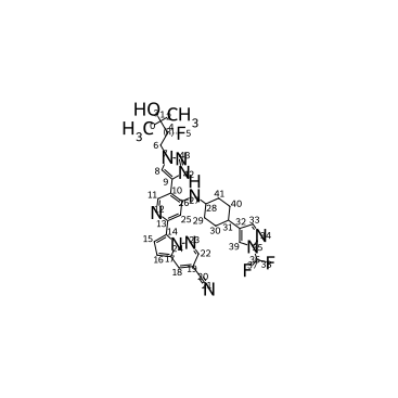 CC(C)(O)[C@H](F)Cn1cc(-c2cnc(-c3ccc4cc(C#N)cnn34)cc2NC2CCC(c3cnn(C(F)F)c3)CC2)nn1